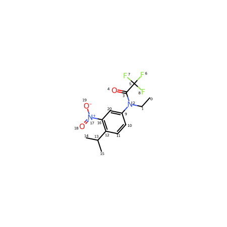 CCN(C(=O)C(F)(F)F)c1ccc(C(C)C)c([N+](=O)[O-])c1